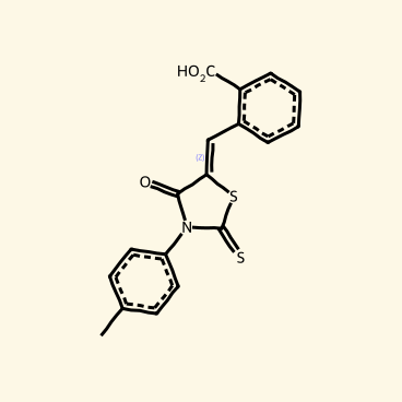 Cc1ccc(N2C(=O)/C(=C/c3ccccc3C(=O)O)SC2=S)cc1